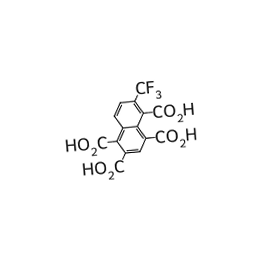 O=C(O)c1cc(C(=O)O)c2c(C(=O)O)c(C(F)(F)F)ccc2c1C(=O)O